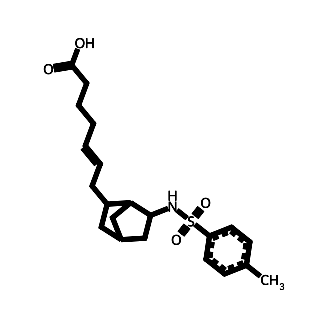 Cc1ccc(S(=O)(=O)NC2CC3CC(CC=CCCCC(=O)O)C2C3)cc1